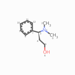 CN(C)[C@@H](CCO)c1ccccc1